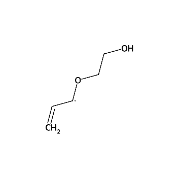 C=C[CH]OCCO